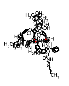 CCCCCOCCNC(=O)Oc1cc(O)c2c(c1)[C@@H](C(=O)NC1C3CC4CC(C3)CC1C4)NC(=O)[C@H]1NC(=O)[C@H](NC(=O)[C@@H]3NC(=O)[C@H](CC(N)=O)NC(=O)[C@H](NC(=O)[C@@H](CC(C)C)NC)[C@H](O)c4ccc(c(Cl)c4)Oc4cc3cc(c4O[C@@H]3O[C@H](CO)[C@@H](O)[C@H](O)[C@H]3O[C@H]3C[C@](C)(N)[C@H](O)[C@H](C)O3)Oc3ccc(cc3Cl)[C@H]1O)c1ccc(O)c-2c1